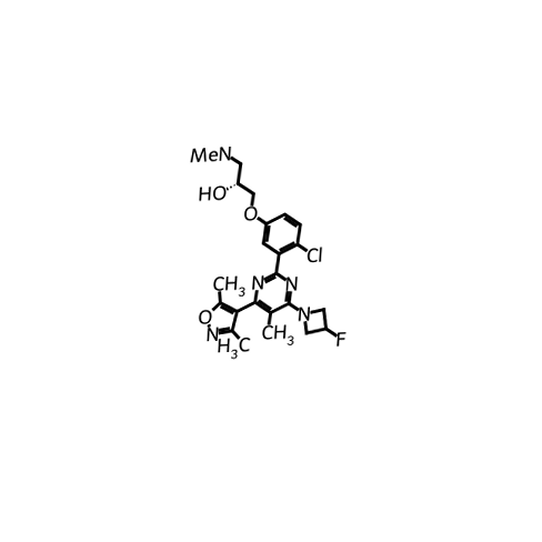 CNC[C@@H](O)COc1ccc(Cl)c(-c2nc(-c3c(C)noc3C)c(C)c(N3CC(F)C3)n2)c1